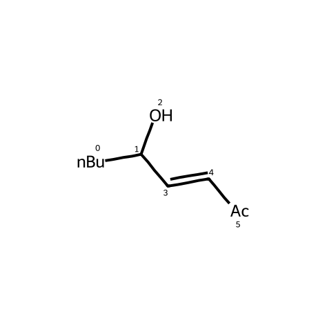 CCCCC(O)C=CC(C)=O